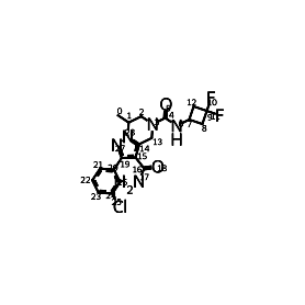 CC1CN(C(=O)NC2CC(F)(F)C2)Cc2c(C(N)=O)c(-c3cccc(Cl)c3)nn21